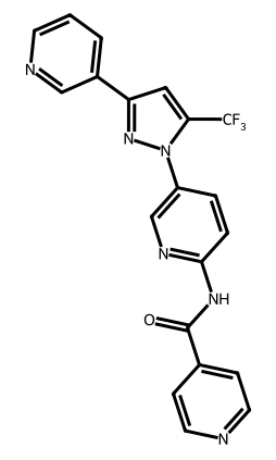 O=C(Nc1ccc(-n2nc(-c3cccnc3)cc2C(F)(F)F)cn1)c1ccncc1